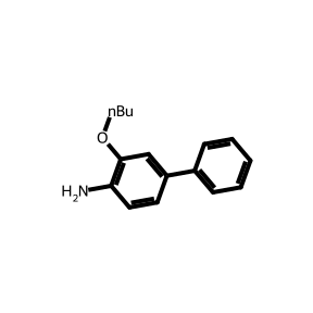 CCCCOc1cc(-c2ccccc2)ccc1N